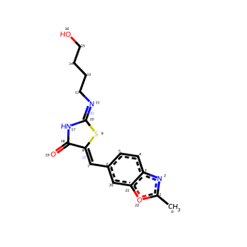 Cc1nc2ccc(/C=C3\S/C(=N/CCCCO)NC3=O)cc2o1